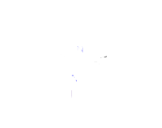 C[C@H]1CN(I)C[C@H](C)N1I